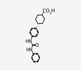 O=C(Nc1ccccc1)Nc1ccc([C@H]2CC[C@H](C(=O)O)CC2)cc1